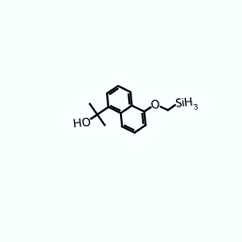 CC(C)(O)c1cccc2c(OC[SiH3])cccc12